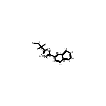 CCC(C)(C)c1nnc(-c2ccc3ccccc3c2)o1